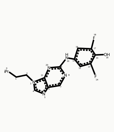 CC(C)CCn1cnc2cnc(Nc3cc(F)c(O)c(F)c3)nc21